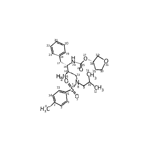 Cc1ccc(S(=O)(=O)N(CC(C)C)C[C@@H](N)[C@H](Cc2ccccc2)NC(=O)O[C@H]2CCOC2)cc1